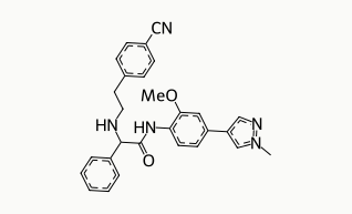 COc1cc(-c2cnn(C)c2)ccc1NC(=O)C(NCCc1ccc(C#N)cc1)c1ccccc1